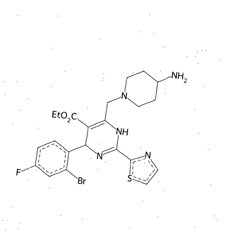 CCOC(=O)C1=C(CN2CCC(N)CC2)NC(c2nccs2)=NC1c1ccc(F)cc1Br